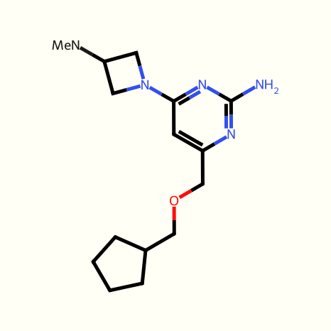 CNC1CN(c2cc(COCC3CCCC3)nc(N)n2)C1